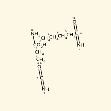 C.C.C.C.C.C.N=C=O.N=C=O.NC(=O)O